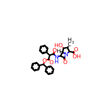 CC1C(O)[C@@H]2C(NC(=O)C(C(=O)OC(c3ccccc3)c3ccccc3)c3ccccc3)C(=O)N2C1C(=O)O